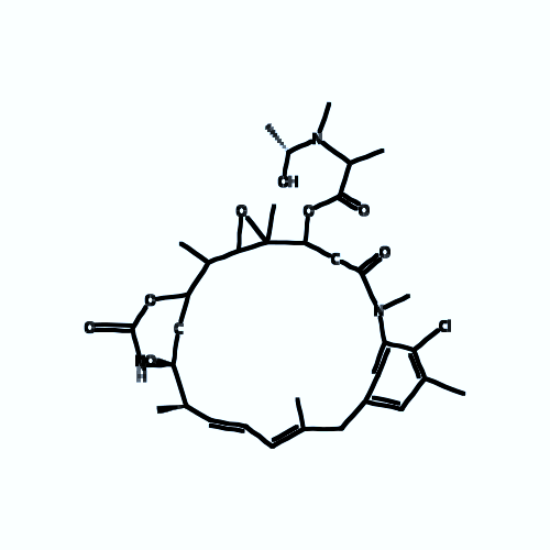 C/C1=C\C=C\[C@@H](C)[C@@]2(O)CC(OC(=O)N2)C(C)C2OC2(C)C(OC(=O)C(C)N(C)[C@@H](C)O)CC(=O)N(C)c2cc(cc(C)c2Cl)C1